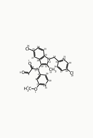 COc1cc(N(C(=O)C=O)c2c(C)n(Cc3ccc(Cl)cn3)c3ccc(Cl)cc23)ccn1